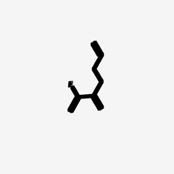 C=CCCC(=C)C(=C)F